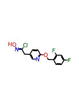 ON=C(Cl)Cc1ccc(OCc2ccc(F)cc2F)nc1